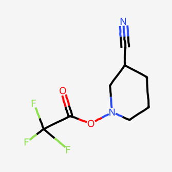 N#CC1CCCN(OC(=O)C(F)(F)F)C1